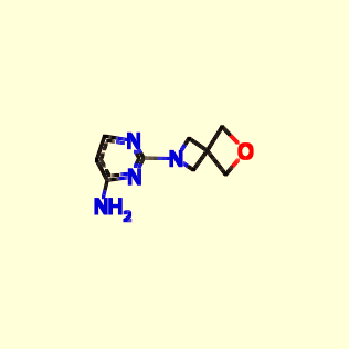 Nc1ccnc(N2CC3(COC3)C2)n1